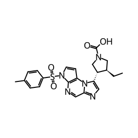 CC[C@@H]1CN(C(=O)O)C[C@H]1c1cnc2cnc3c(ccn3S(=O)(=O)c3ccc(C)cc3)n12